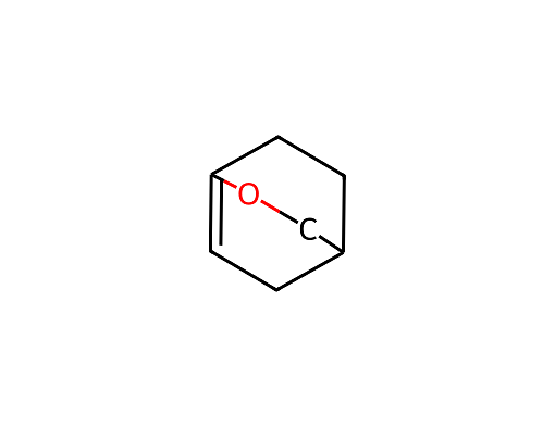 C1=C2CCC(C1)CO2